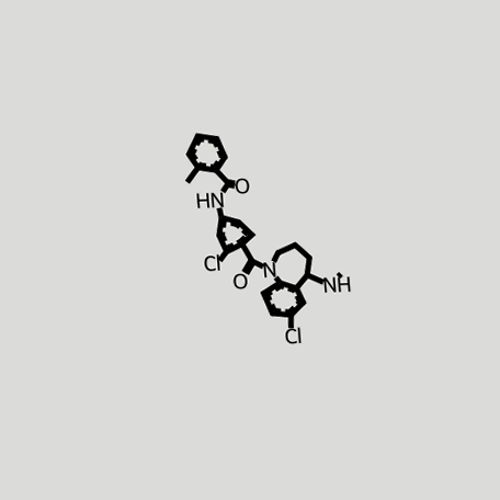 CNC1CCCN(C(=O)c2ccc(NC(=O)c3ccccc3C)cc2Cl)c2ccc(Cl)cc21